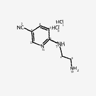 Cl.Cl.N#Cc1ccc(NCCN)nc1